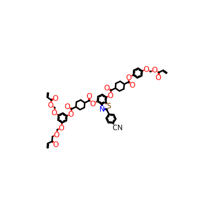 C=CC(=O)COCOc1cc(OCOC(=O)C=C)cc(OC(=O)C2CCC(C(=O)Oc3ccc(OC(=O)C4CCC(C(=O)Oc5ccc(OCOC(=O)C=C)cc5)CC4)c4sc(-c5ccc(C#N)cc5)nc34)CC2)c1